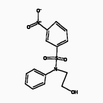 O=[N+]([O-])c1cccc(S(=O)(=O)N(CCO)c2ccccc2)c1